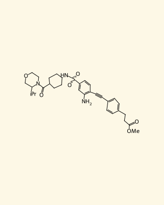 COC(=O)CCc1ccc(C#Cc2ccc(S(=O)(=O)NC3CCC(C(=O)N4CCOCC4C(C)C)CC3)cc2N)cc1